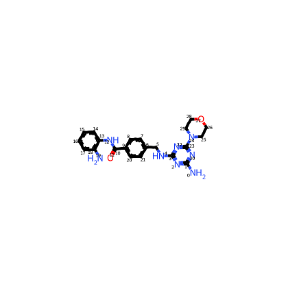 Nc1nc(NCc2ccc(C(=O)Nc3ccccc3N)cc2)nc(N2CCOCC2)n1